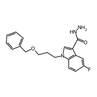 NNC(=O)c1cn(CCCOCc2ccccc2)c2ccc(F)cc12